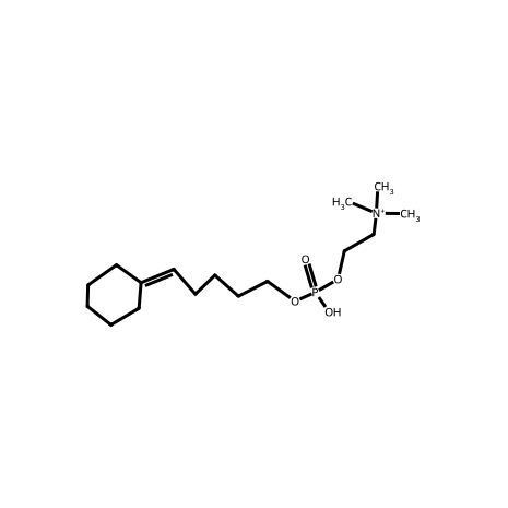 C[N+](C)(C)CCOP(=O)(O)OCCCCC=C1CCCCC1